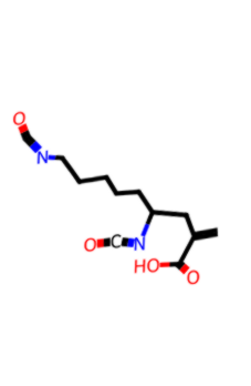 C=C(CC(CCCCCN=C=O)N=C=O)C(=O)O